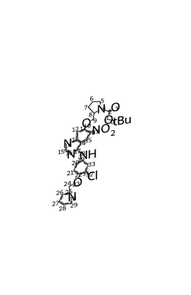 CC(C)(C)OC(=O)N1CCCC1COc1cc2ncnc(Nc3ccc(OCc4ccccn4)c(Cl)c3)c2cc1[N+](=O)[O-]